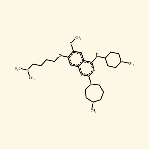 COc1cc2c(NC3CCN(C)CC3)nc(N3CCCN(C)CC3)nc2cc1OCCCCN(C)C